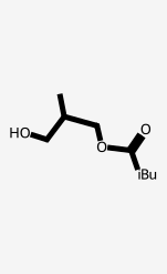 CCC(C)C(=O)OCC(C)CO